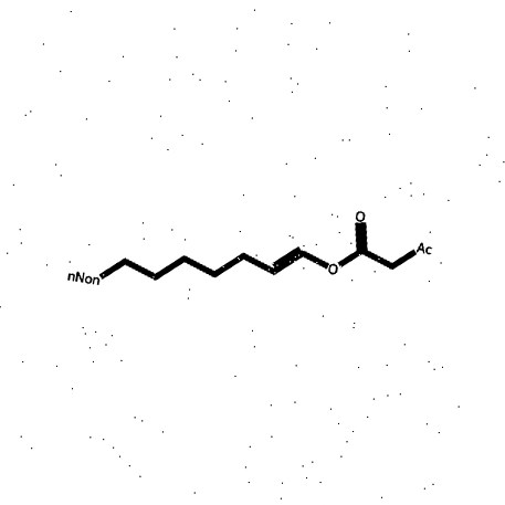 CCCCCCCCCCCCCCC=COC(=O)CC(C)=O